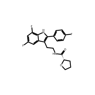 O=C(NCCc1c(-c2ccc(F)cc2)[nH]c2c(F)cc(F)cc12)[C@@H]1CCCO1